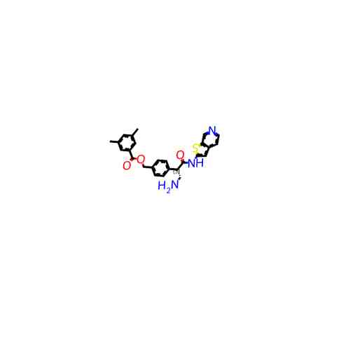 Cc1cc(C)cc(C(=O)OCc2ccc([C@@H](CN)C(=O)Nc3cc4ccncc4s3)cc2)c1